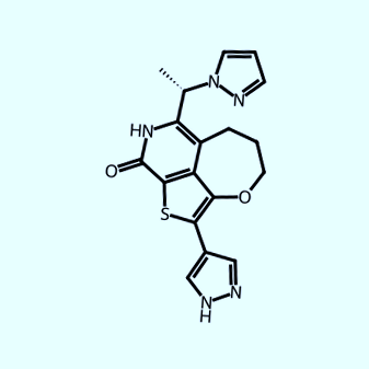 C[C@@H](c1[nH]c(=O)c2sc(-c3cn[nH]c3)c3c2c1CCCO3)n1cccn1